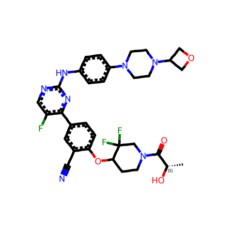 C[C@H](O)C(=O)N1CCC(Oc2ccc(-c3nc(Nc4ccc(N5CCN(C6COC6)CC5)cc4)ncc3F)cc2C#N)C(F)(F)C1